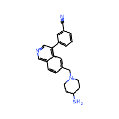 N#Cc1cccc(-c2cncc3ccc(CN4CCC(N)CC4)cc23)c1